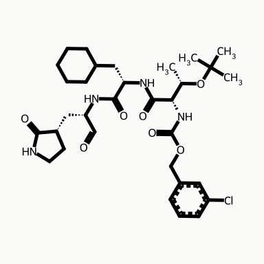 C[C@H](OC(C)(C)C)[C@H](NC(=O)OCc1cccc(Cl)c1)C(=O)N[C@@H](CC1CCCCC1)C(=O)N[C@H](C=O)C[C@@H]1CCNC1=O